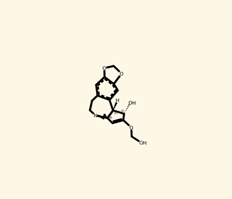 OCOC1=C[C@]23CCCN2CCc2cc4c(cc2[C@@H]3[C@@H]1O)OCO4